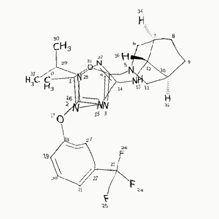 Cc1nnc(N2C[C@H]3CC[C@@H](C2)[C@@H]3Nc2nc(Oc3cccc(C(F)(F)F)c3)n(C(C)C)n2)o1